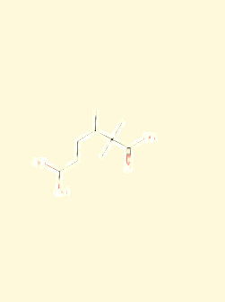 CC(CCC(O)O)C(C)(C)C(=O)O